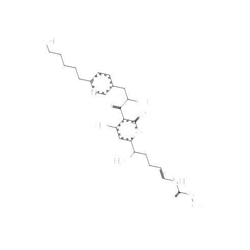 CCCCCCc1ccc(CC(C)C(=O)c2c(O)cc(C(C)CC/C=C/NC(=O)OC)oc2=O)cn1